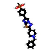 CS(=O)(=O)c1ccc(-c2cn3nc(C4CCN(Cc5ccccc5)CC4)sc3n2)cc1